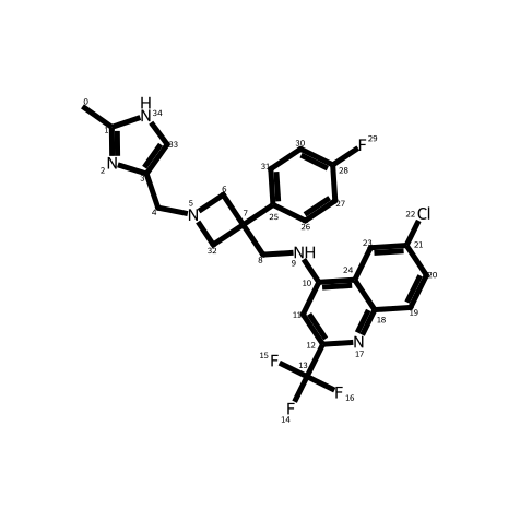 Cc1nc(CN2CC(CNc3cc(C(F)(F)F)nc4ccc(Cl)cc34)(c3ccc(F)cc3)C2)c[nH]1